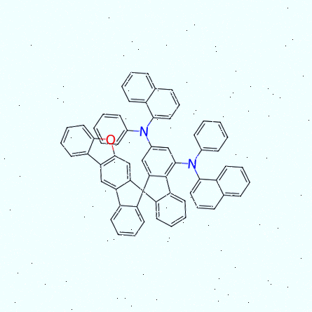 c1ccc(N(c2cc(N(c3ccccc3)c3cccc4ccccc34)c3c(c2)C2(c4ccccc4-c4cc5c(cc42)oc2ccccc25)c2ccccc2-3)c2cccc3ccccc23)cc1